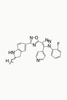 C=C1Cc2cc(-c3noc(-c4nnn(-c5ccccc5F)c4-c4ccncc4)n3)ccc2N1